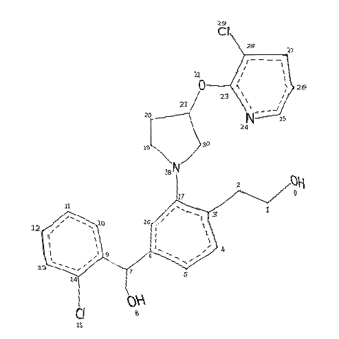 OCCc1ccc(C(O)c2ccccc2Cl)cc1N1CCC(Oc2ncccc2Cl)C1